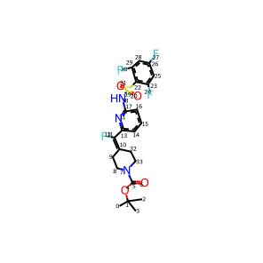 CC(C)(C)OC(=O)N1CCC(=C(F)c2cccc(NS(=O)(=O)c3c(F)cc(F)cc3F)n2)CC1